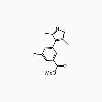 COC(=O)c1cc(F)cc(-c2c(C)nsc2C)c1